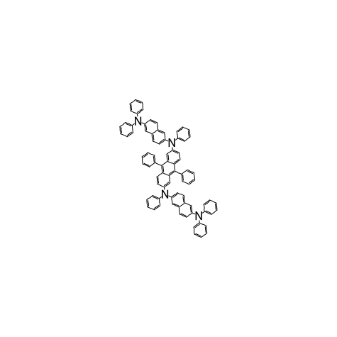 c1ccc(-c2c3ccc(N(c4ccccc4)c4ccc5cc(N(c6ccccc6)c6ccccc6)ccc5c4)cc3c(-c3ccccc3)c3ccc(N(c4ccccc4)c4ccc5cc(N(c6ccccc6)c6ccccc6)ccc5c4)cc23)cc1